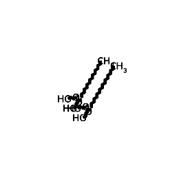 CCCCCCCCCCCCCCCCCCN(OCCO)OCCO.CCCCCCCCCCCCCCCCN(OCCO)OCCO